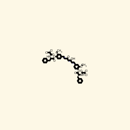 COc1cc(/C=C/C(=O)/C=C(O)/C=C/c2ccc(OC(=O)[C@H](Cc3ccccc3)NC(=O)C(Cl)Cl)c(OC)c2)ccc1OC(=O)C(Cc1ccccc1)NC(=O)C(Cl)Cl